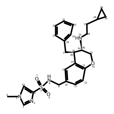 Cn1cnc(S(=O)(=O)NCc2ccc3c(c2)[C@@H](Cc2ccccc2)[C@@H](NCCC2CC2)CO3)c1